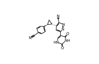 N#Cc1ccc([C@H]2C[C@@H]2c2cc(-c3c[nH]c(=O)[nH]c3=O)nnc2C#N)cc1